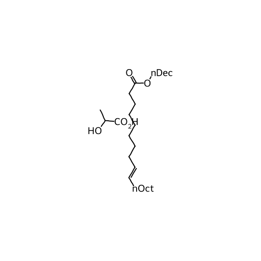 CC(O)C(=O)O.CCCCCCCCC=CCCCCCCCC(=O)OCCCCCCCCCC